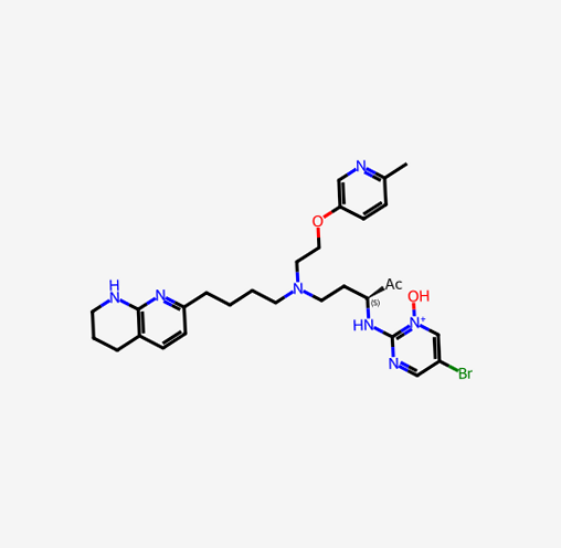 CC(=O)[C@H](CCN(CCCCc1ccc2c(n1)NCCC2)CCOc1ccc(C)nc1)Nc1ncc(Br)c[n+]1O